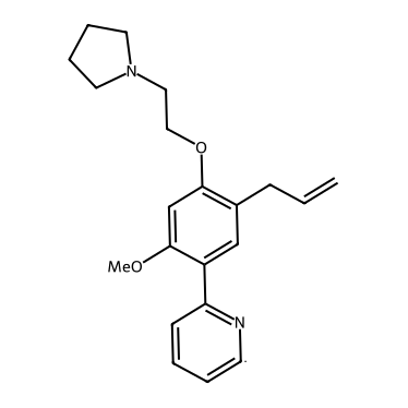 C=CCc1cc(-c2ccc[c]n2)c(OC)cc1OCCN1CCCC1